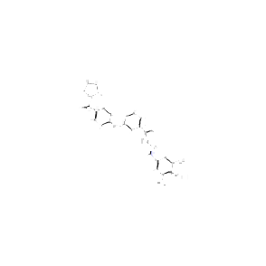 O=C(N/N=C/c1cc(Br)c(O)c(Br)c1)c1cccc(Oc2ccc(C(=O)N3CCCC3)cc2)c1